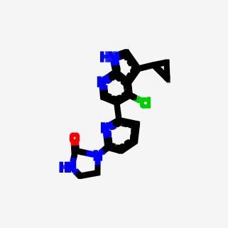 O=C1NCCN1c1cccc(-c2cnc3[nH]cc(C4CC4)c3c2Cl)n1